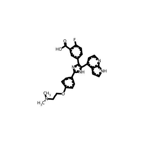 CN(C)CCOc1ccc(-c2nc(-c3ccc(F)c(C(=O)O)c3)c(-c3ccnc4[nH]ccc34)[nH]2)cc1